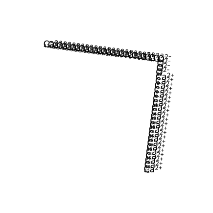 [Ca+2].[Ca+2].[Ca+2].[Ca+2].[Ca+2].[Ca+2].[Ca+2].[Ca+2].[Ca+2].[Ca+2].[Ca+2].[Ca+2].[Ca+2].[Ca+2].[Ca+2].[Ca+2].[Ca+2].[Ca+2].[Ca+2].[Ca+2].[Ca+2].[Ca+2].[Ca+2].[Ca+2].[Ca+2].[Ca+2].[Ca+2].[Ca+2].[Ca+2].[Ca+2].[Ca+2].[Ca+2].[Ca+2].[Ca+2].[Ca+2].[Ca+2].[Ca+2].[Ca+2].[Ca+2].[Ca+2].[Ca+2].[Ca+2].[Ca+2].[Ca+2].[O-2].[O-2].[O-2].[O-2].[O-2].[O-2].[O-2].[O-2]